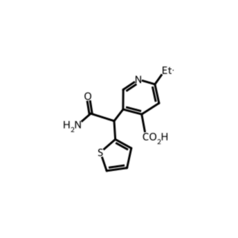 C[CH]c1cc(C(=O)O)c(C(C(N)=O)c2cccs2)cn1